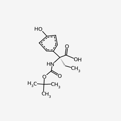 CC[C@@](NC(=O)OC(C)(C)C)(C(=O)O)c1ccc(O)cc1